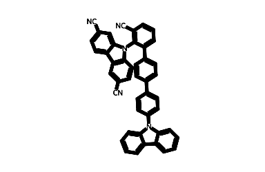 N#Cc1ccc2c(c1)c1ccc(C#N)cc1n2-c1c(C#N)cccc1-c1ccc(-c2ccc(-n3c4ccccc4c4ccccc43)cc2)cc1